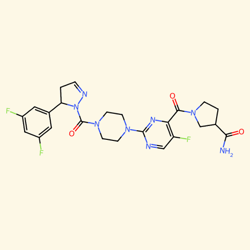 NC(=O)C1CCN(C(=O)c2nc(N3CCN(C(=O)N4N=CCC4c4cc(F)cc(F)c4)CC3)ncc2F)C1